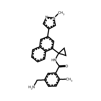 Cc1ccc(CN)cc1C(=O)NC1(c2cc(-c3cnn(C)c3)cc3ccccc23)CC1